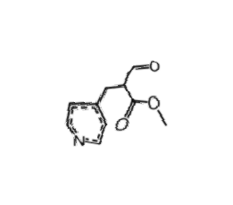 COC(=O)C(C=O)Cc1ccncc1